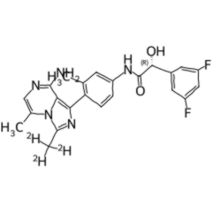 [2H]C([2H])([2H])c1nc(-c2ccc(NC(=O)[C@H](O)c3cc(F)cc(F)c3)cc2C)c2c(N)ncc(C)n12